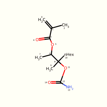 C=C(C)C(=O)OC(C)C(C)(CCCCCC)OC(N)=O